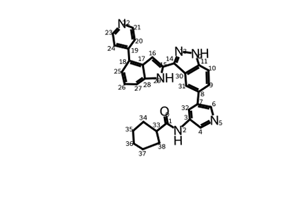 O=C(Nc1cncc(-c2ccc3[nH]nc(-c4cc5c(-c6ccncc6)cccc5[nH]4)c3c2)c1)C1CCCCC1